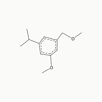 COCc1cc(OC)cc(C(C)C)c1